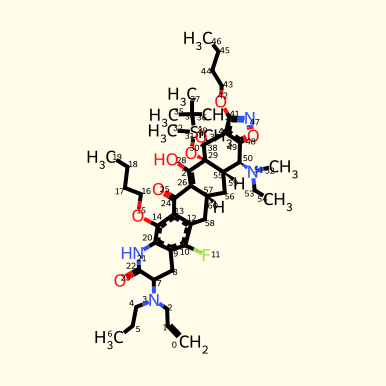 C=CCN(CCC)C1Cc2c(F)c3c(c(OCCCC)c2NC1=O)C(=O)C1=C(O)[C@]2(O[Si](C)(C)C(C)(C)C)C(=O)c4c(OCCCC)noc4[C@@H](N(C)CC)[C@@H]2C[C@@H]1C3